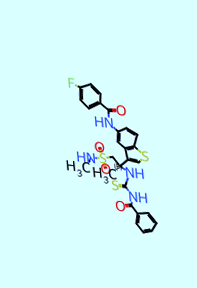 CNS(=O)(=O)C[C@](C)(NC(=S)NC(=O)c1ccccc1)c1csc2ccc(NC(=O)c3ccc(F)cc3)cc12